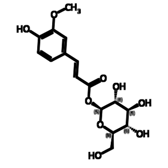 COc1cc(C=CC(=O)O[C@@H]2O[C@H](CO)[C@@H](O)[C@H](O)[C@H]2O)ccc1O